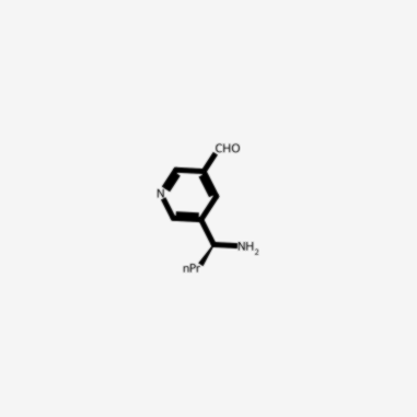 CCC[C@H](N)c1cncc(C=O)c1